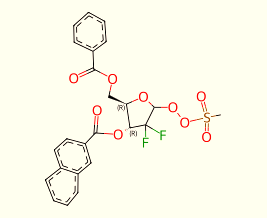 CS(=O)(=O)OOC1O[C@H](COC(=O)c2ccccc2)[C@@H](OC(=O)c2ccc3ccccc3c2)C1(F)F